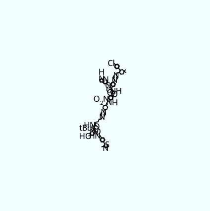 Cc1ncsc1-c1ccc(CNC(=O)[C@@H]2C[C@@H](O)CN2C(=O)[C@@H](NC(=O)CCCCN2CCN(C3CCC(CNc4ccc(S(=O)(=O)NC(=O)c5ccc(N6CCN(CC7=C(c8ccc(Cl)cc8)CC(C)(C)CC7)CC6)cc5Oc5cnc6[nH]ccc6c5)cc4[N+](=O)[O-])CC3)CC2)C(C)(C)C)cc1